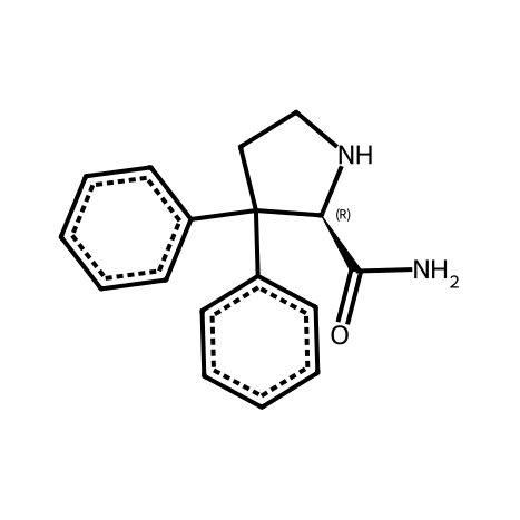 NC(=O)[C@@H]1NCCC1(c1ccccc1)c1ccccc1